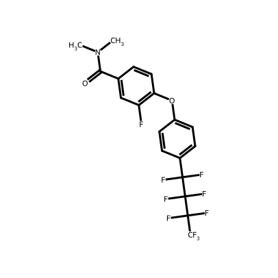 CN(C)C(=O)c1ccc(Oc2ccc(C(F)(F)C(F)(F)C(F)(F)C(F)(F)F)cc2)c(F)c1